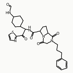 O=CNC1CCC(C(NC(=O)C2CCC3C(=O)N(CCCc4ccccc4)CC(=O)N23)C(=O)c2nccs2)CC1